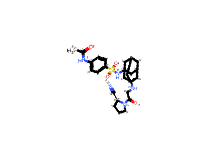 CC(=O)Nc1ccc(S(=O)(=O)NC23CC4CC(CC(NCC(=O)N5CCC[C@H]5C#N)(C4)C2)C3)cc1